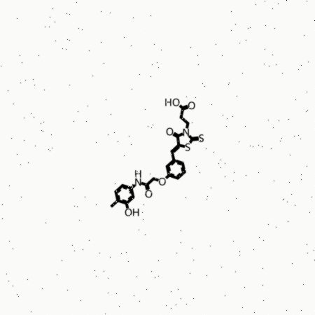 Cc1ccc(NC(=O)COc2cccc(/C=C3\SC(=S)N(CCC(=O)O)C3=O)c2)cc1O